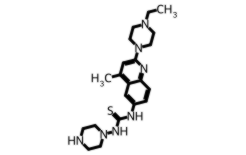 CCN1CCN(c2cc(C)c3cc(NC(=S)NN4CCNCC4)ccc3n2)CC1